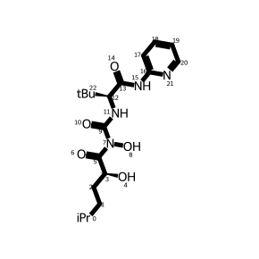 CC(C)CC[C@H](O)C(=O)N(O)C(=O)N[C@H](C(=O)Nc1ccccn1)C(C)(C)C